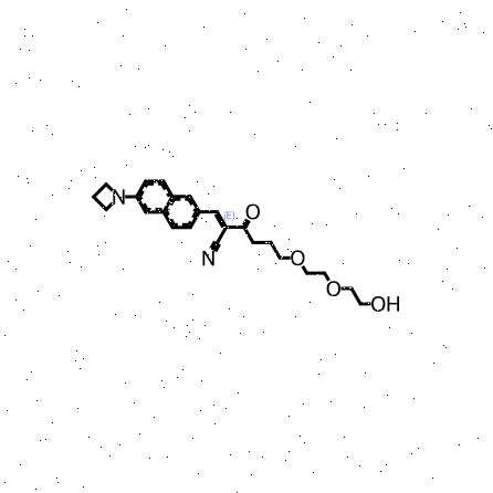 N#C/C(=C\c1ccc2cc(N3CCC3)ccc2c1)C(=O)CCCOCCOCCO